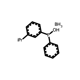 B.CC(C)c1cccc(P(O)c2ccccc2)c1